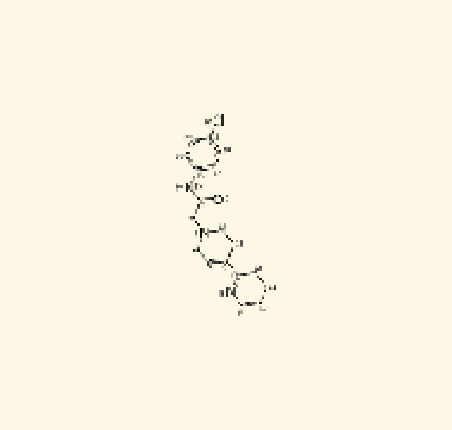 O=C(CN1CC=C(C2=NC=CCC2)CC1)Nc1ccc(Cl)cc1